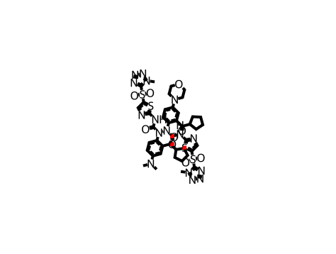 CN(C)c1ccc(N(C(=O)Nc2ncc(S(=O)(=O)c3nnnn3C)s2)N(C(=O)Nc2ncc(S(=O)(=O)c3nnnn3C)s2)c2ccc(N3CCOCC3)cc2C(=O)C2CCCC2)c(C(=O)C2CCCC2)c1